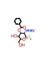 CS[C@@H]1OC(CO)[C@@H](O)C(OC(=O)c2ccccc2)C1N=[N+]=[N-]